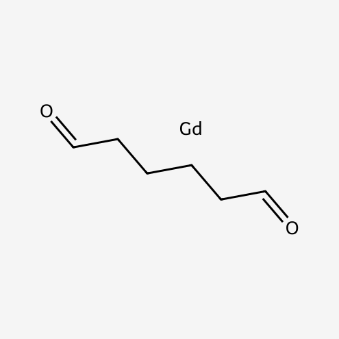 O=CCCCCC=O.[Gd]